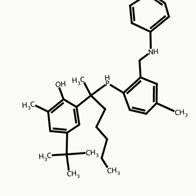 CCCCCC(C)(Pc1ccc(C)cc1CNc1ccccc1)c1cc(C(C)(C)C)cc(C)c1O